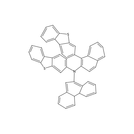 C1=CC2=CC(N(c3ccc4c(c3)sc3ccccc34)c3ccc4ccccc4c3-c3ccc4c(c3)sc3ccccc34)=C3C=CC=CC3C2C=C1